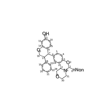 CCCCCCCCCC(Oc1ccc(C2c3ccc(O)cc3OCC2c2ccccc2)cc1)N1CCOCC1